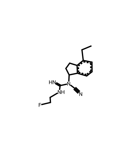 CCc1cccc2c1CCC2N(C#N)C(=N)NCCF